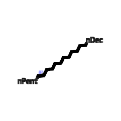 CCCCC/C=C/CCCCCCCCCCCCCCCCCCCC